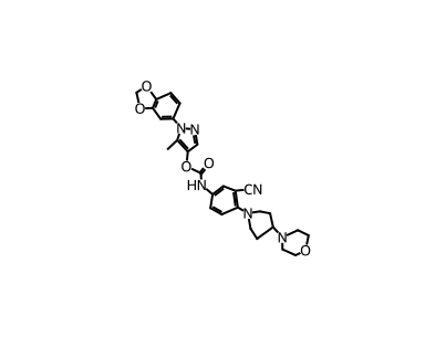 Cc1c(OC(=O)Nc2ccc(N3CCC(N4CCOCC4)CC3)c(C#N)c2)cnn1-c1ccc2c(c1)OCO2